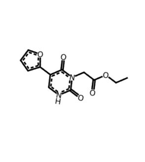 CCOC(=O)Cn1c(=O)[nH]cc(-c2ccco2)c1=O